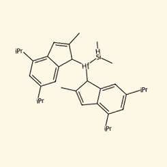 CC1=Cc2c(C(C)C)cc(C(C)C)cc2[CH]1[Hf]([CH]1C(C)=Cc2c(C(C)C)cc(C(C)C)cc21)[SiH](C)C